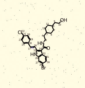 O=C(NCCC1CCC(CCO)CC1)c1c(/C=C/c2ccc(Cl)cc2)[nH]c2cc(Br)ccc12